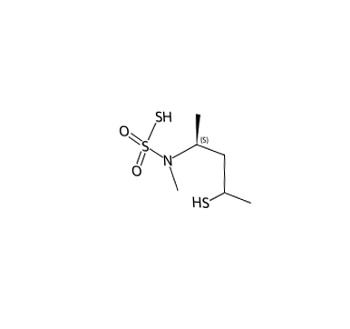 CC(S)C[C@H](C)N(C)S(=O)(=O)S